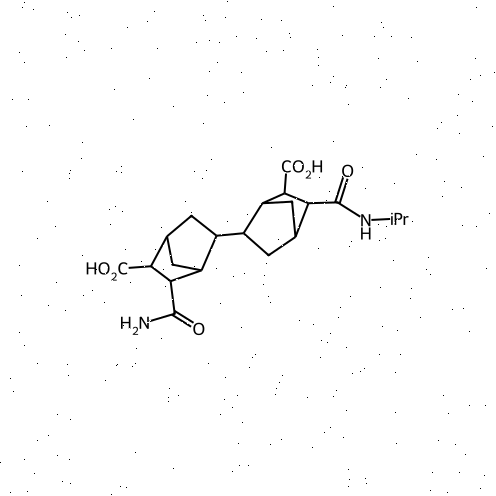 CC(C)NC(=O)C1C2CC(C3CC4CC3C(C(N)=O)C4C(=O)O)C(C2)C1C(=O)O